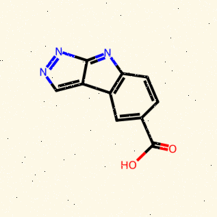 O=C(O)c1ccc2c(c1)C1=CN=NC1=N2